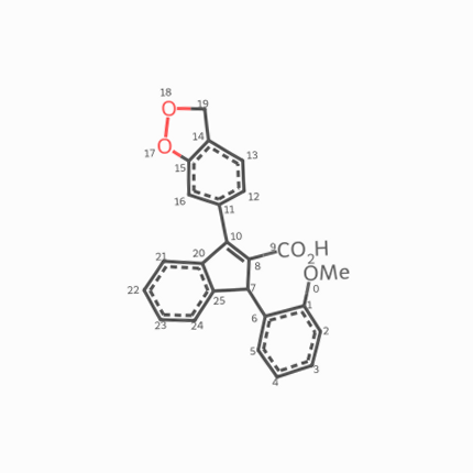 COc1ccccc1C1C(C(=O)O)=C(c2ccc3c(c2)OOC3)c2ccccc21